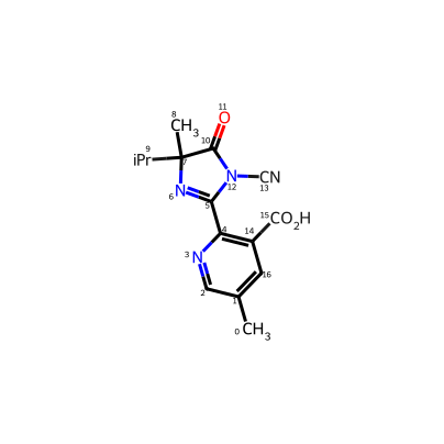 Cc1cnc(C2=NC(C)(C(C)C)C(=O)N2C#N)c(C(=O)O)c1